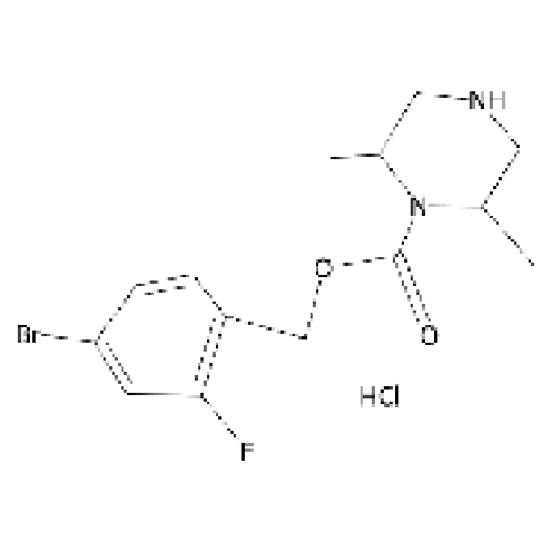 CC1CNCC(C)N1C(=O)OCc1ccc(Br)cc1F.Cl